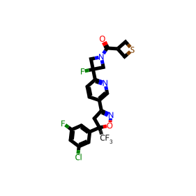 O=C(C1CSC1)N1CC(F)(c2ccc(C3=NOC(c4cc(F)cc(Cl)c4)(C(F)(F)F)C3)cn2)C1